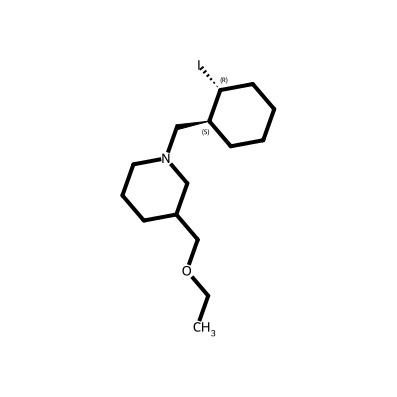 CCOCC1CCCN(C[C@@H]2CCCC[C@H]2I)C1